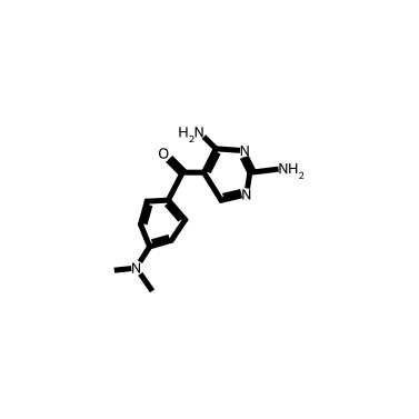 CN(C)c1ccc(C(=O)c2cnc(N)nc2N)cc1